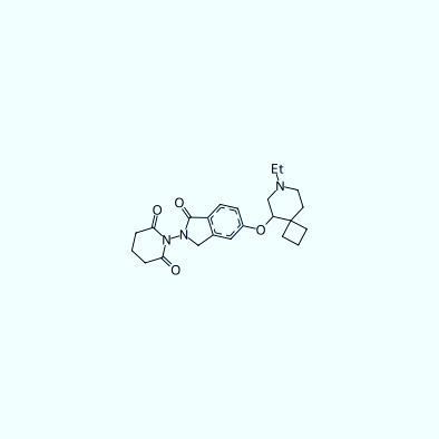 CCN1CCC2(CCC2)C(Oc2ccc3c(c2)CN(N2C(=O)CCCC2=O)C3=O)C1